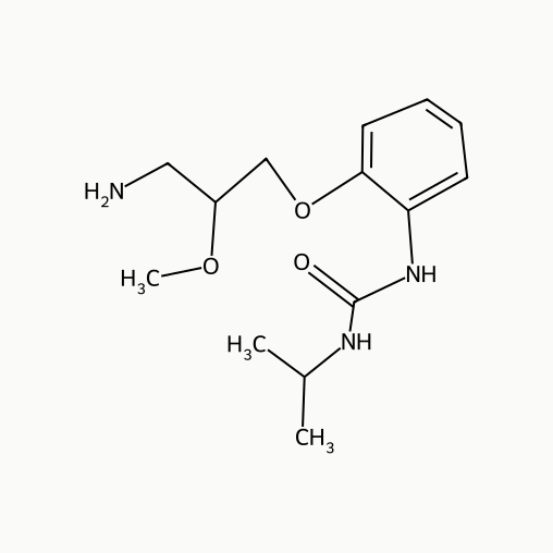 COC(CN)COc1ccccc1NC(=O)NC(C)C